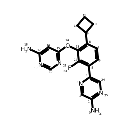 Nc1cnc(-c2ccc(C3CCC3)c(Oc3cc(N)ncn3)c2F)cn1